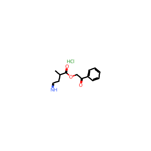 CC(CC=N)C(=O)OCC(=O)c1ccccc1.Cl